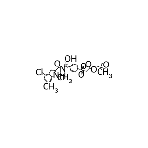 Cc1cc(Cl)c2cc(C(=O)N[C@H](CO)c3ccc(S(=O)(=O)CC(=O)OCC4(C)COC4)cc3)n(C)c2c1